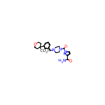 NC(=O)c1ccn(C(=O)N2CCN(Cc3cccc(C4(C(=O)O)CCOCC4)c3)CC2)n1